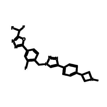 CN1CC(c2ccc(-c3cn(Cc4ccc(-c5nnc(C(F)F)o5)cc4F)nn3)cc2)C1